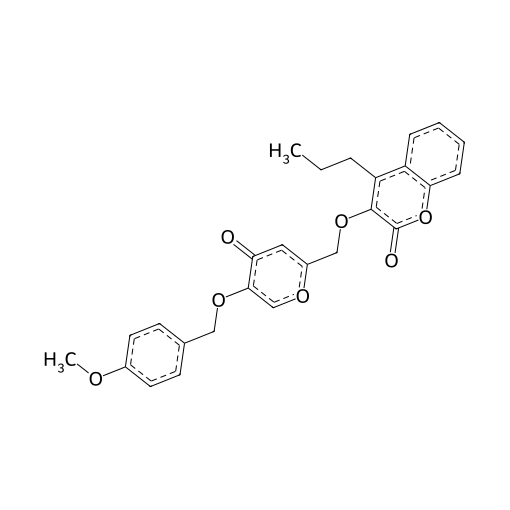 CCCc1c(OCc2cc(=O)c(OCc3ccc(OC)cc3)co2)c(=O)oc2ccccc12